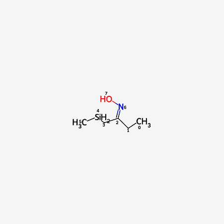 CCC(C[SiH2]C)=NO